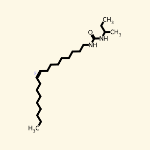 CCCCCCCC/C=C\CCCCCCCCNC(=O)NC(C)CC